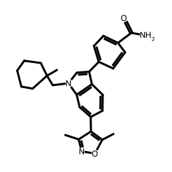 Cc1noc(C)c1-c1ccc2c(-c3ccc(C(N)=O)cc3)cn(CC3(C)CCCCC3)c2c1